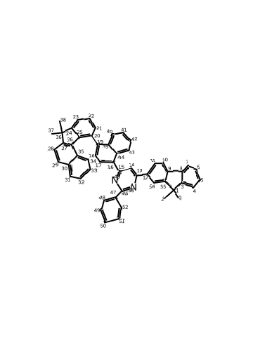 CC1(C)c2ccccc2-c2ccc(-c3cc(-c4ccc(-c5cccc6c5-c5c(ccc7ccccc57)C6(C)C)c5ccccc45)nc(-c4ccccc4)n3)cc21